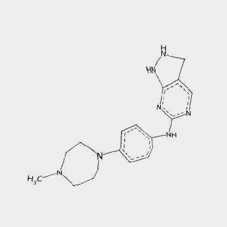 CN1CCN(c2ccc(Nc3ncc4c(n3)NNC4)cc2)CC1